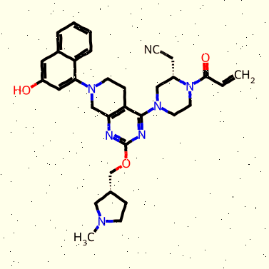 C=CC(=O)N1CCN(c2nc(OC[C@@H]3CCN(C)C3)nc3c2CCN(c2cc(O)cc4ccccc24)C3)C[C@@H]1CC#N